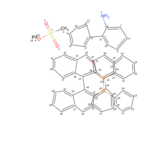 CS(=O)(=O)[O-].Nc1ccccc1-c1[c-]cccc1.[Pd+2].c1ccc(P(c2ccccc2)c2ccc3ccccc3c2-c2c(P(c3ccccc3)c3ccccc3)ccc3ccccc23)cc1